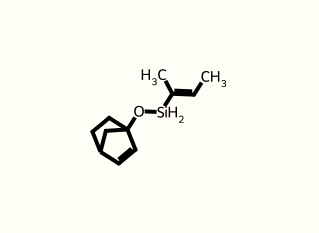 C/C=C(\C)[SiH2]OC12C=CC(CC1)C2